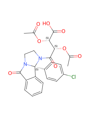 CC(=O)O[C@H](C(=O)O)[C@H](OC(C)=O)C(=O)N1CCN2C(=O)c3ccccc3[C@@]21c1ccc(Cl)cc1